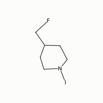 FCC1CCN(I)CC1